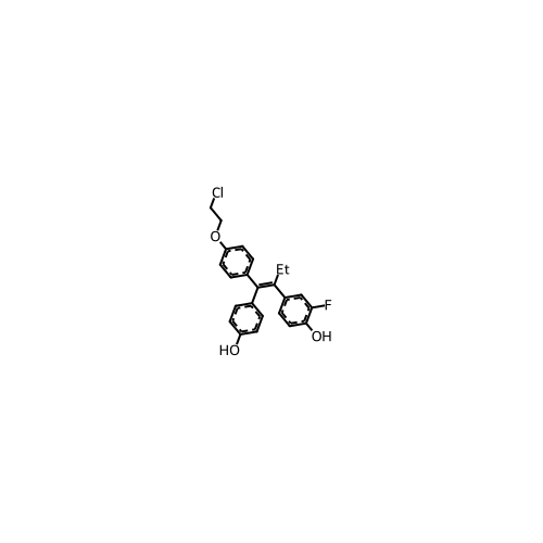 CCC(=C(c1ccc(O)cc1)c1ccc(OCCCl)cc1)c1ccc(O)c(F)c1